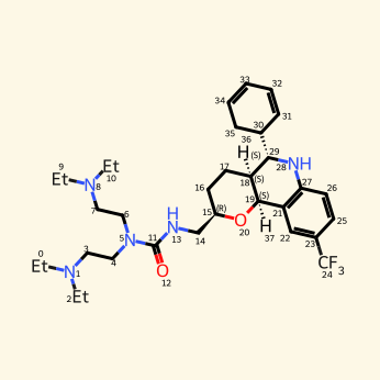 CCN(CC)CCN(CCN(CC)CC)C(=O)NC[C@H]1CC[C@@H]2[C@H](O1)c1cc(C(F)(F)F)ccc1N[C@H]2C1C=CC=CC1